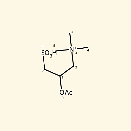 CC(=O)OC(C[N+](C)(C)C)CS(=O)(=O)O